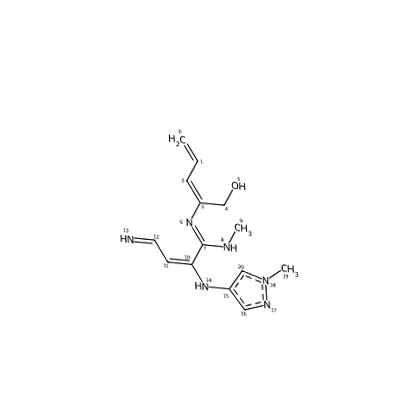 C=C/C=C(CO)/N=C(NC)/C(=C\C=N)Nc1cnn(C)c1